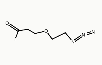 [N-]=[N+]=NCCOCCC(=O)I